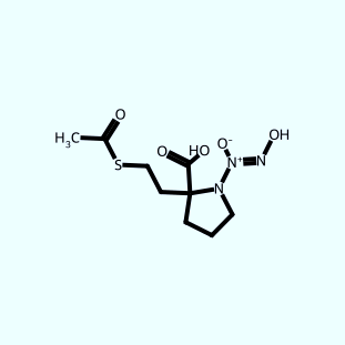 CC(=O)SCCC1(C(=O)O)CCCN1[N+]([O-])=NO